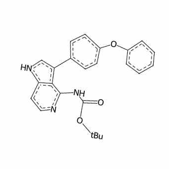 CC(C)(C)OC(=O)Nc1nccc2[nH]cc(-c3ccc(Oc4ccccc4)cc3)c12